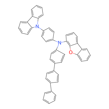 c1ccc(-c2ccc(-c3ccc(N(c4ccc(-n5c6ccccc6c6ccccc65)cc4)c4cccc5c4oc4ccccc45)cc3)cc2)cc1